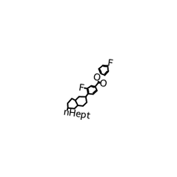 CCCCCCCC1CCC2CC(c3ccc(C(=O)Oc4ccc(F)cc4)cc3F)CCC2C1